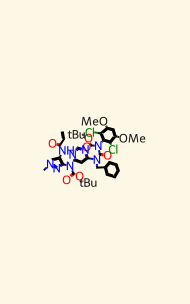 C=CC(=O)Nc1cn(C)nc1N(C(=O)OC(C)(C)C)c1cc(N(Cc2ccccc2)C(=O)N(C(=O)OC(C)(C)C)c2c(Cl)c(OC)cc(OC)c2Cl)ncn1